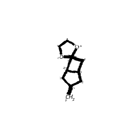 C=C1CC2CC3(OCCO3)C2C1